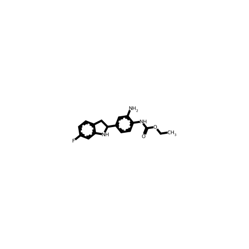 CCOC(=O)Nc1ccc(C2Cc3ccc(F)cc3N2)cc1N